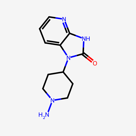 NN1CCC(n2c(=O)[nH]c3ncccc32)CC1